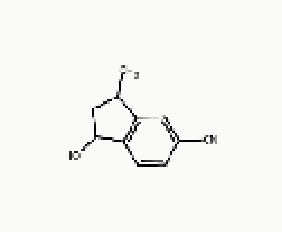 CC1CC(O)c2ccc(C#N)cc21